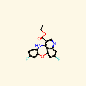 CCOC(=O)c1cnc2cc(F)cc3c2c1Nc1ccc(F)cc1O3